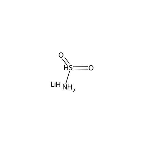 N[SH](=O)=O.[LiH]